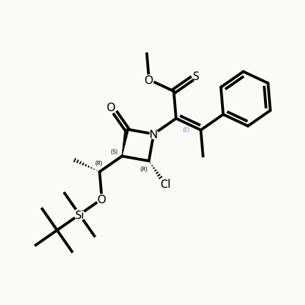 COC(=S)/C(=C(/C)c1ccccc1)N1C(=O)[C@H]([C@@H](C)O[Si](C)(C)C(C)(C)C)[C@H]1Cl